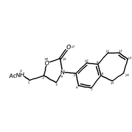 CC(=O)NCC1CN(c2ccc3c(c2)CC=CCC3)C(=O)O1